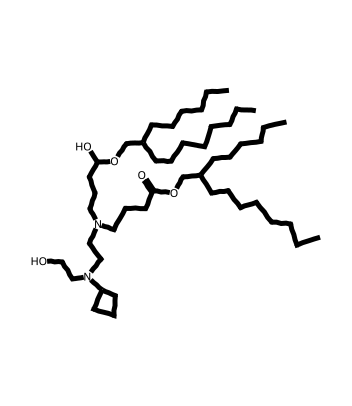 CCCCCCCCC(CCCCCC)COC(=O)CCCN(CCCC(O)OCC(CCCCCC)CCCCCCCC)CCN(CCO)C1CCC1